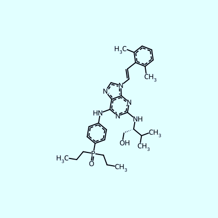 CCCP(=O)(CCC)c1ccc(Nc2nc(N[C@@H](CO)C(C)C)nc3c2ncn3C=Cc2c(C)cccc2C)cc1